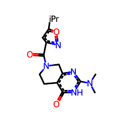 CC(C)c1cc(C(=O)N2CCc3c(nc(N(C)C)[nH]c3=O)C2)no1